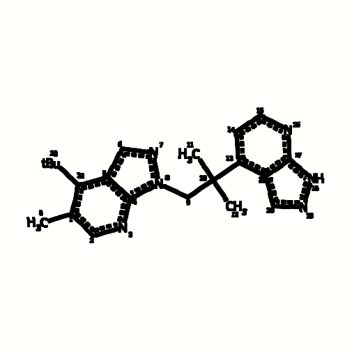 Cc1cnc2c(cnn2CC(C)(C)c2ccnc3[nH]ncc23)c1C(C)(C)C